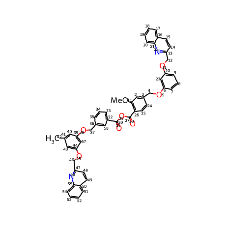 COc1cc(COc2cccc(OCc3ccc4ccccc4n3)c2)ccc1C(=O)OC(=O)c1cccc(COc2cc(C)cc(OCc3ccc4ccccc4n3)c2)c1